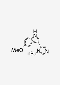 CCCCn1cncc1-c1c[nH]c2ccc(OC)cc12